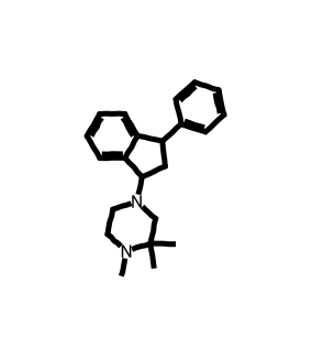 CN1CCN(C2CC(c3ccccc3)c3ccccc32)CC1(C)C